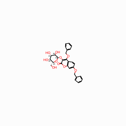 O=c1oc2cc(OCc3ccccc3)ccc2c(OCc2ccccc2)c1O[C@@H]1O[C@H](CO)[C@H](O)[C@H](O)[C@H]1O